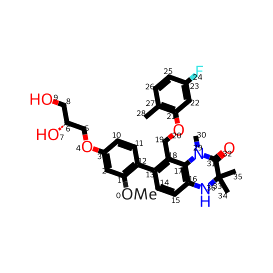 COc1cc(OC[C@H](O)CO)ccc1-c1ccc2c(c1COc1cc(F)ccc1C)N(C)C(=O)C(C)(C)N2